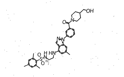 Cc1cc(C)c(S(=O)(=O)N[C@@H](C)CNc2cc(C)cc3c2cnn3-c2cccc(C(=O)N3CCC(CO)CC3)c2)c(C)c1